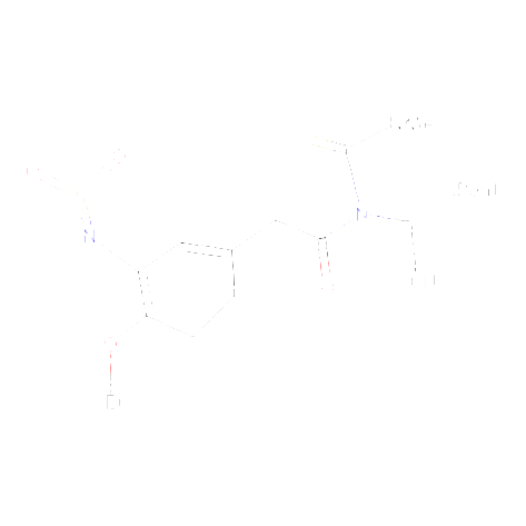 CCCCC[C@H](C)N(C(=O)Cc1ccc(OCC)c(N=S(=O)=O)c1)C(=S)NC